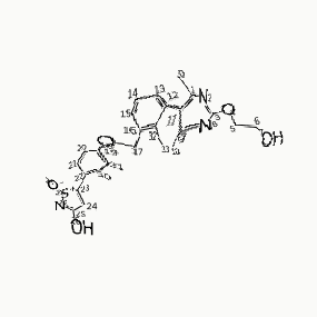 Cc1nc(OCCO)nc(C)c1-c1cccc(COc2ccc(-c3cc(O)n[s+]3[O-])cc2)c1C